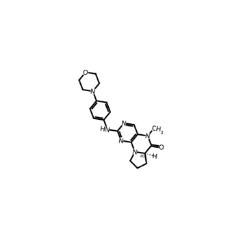 CN1C(=O)[C@H]2CCCN2c2nc(Nc3ccc(N4CCOCC4)cc3)ncc21